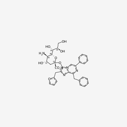 N[C@H]1[C@H]([C@H](O)[C@H](O)CO)O[C@@](Oc2c(Cc3ccco3)nc3c(Cc4ccccc4)nc(-c4ccccc4)cn23)(C(=O)O)C[C@@H]1O